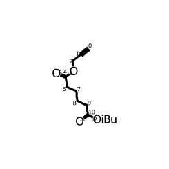 C#CCOC(=O)CCCCC(=O)OCC(C)C